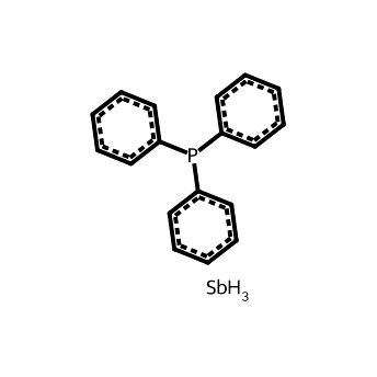 [SbH3].c1ccc(P(c2ccccc2)c2ccccc2)cc1